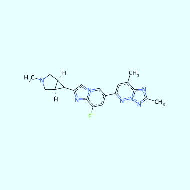 Cc1nc2c(C)cc(-c3cc(F)c4nc(C5[C@H]6CN(C)C[C@@H]56)cn4c3)nn2n1